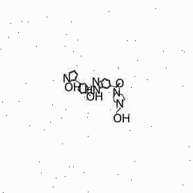 O=C(c1ccc2nc(-c3cc(-c4cccnc4O)ccc3O)[nH]c2c1)N1CCN(CCO)CC1